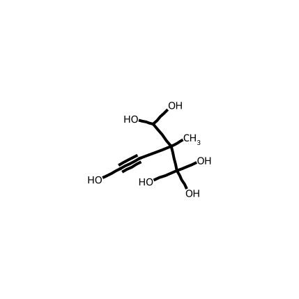 CC(C#CO)(C(O)O)C(O)(O)O